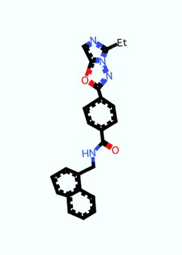 CCc1ncc2oc(-c3ccc(C(=O)NCc4cccc5ccccc45)cc3)nn12